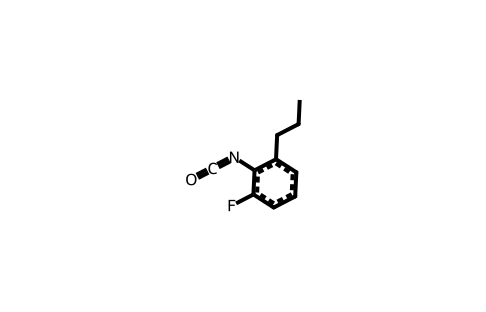 CCCc1cccc(F)c1N=C=O